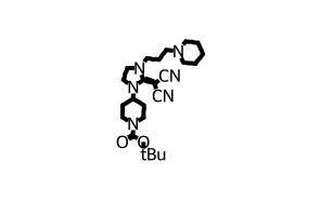 CC(C)(C)OC(=O)N1CCC(N2CCN(CCCN3CCCCC3)C2=C(C#N)C#N)CC1